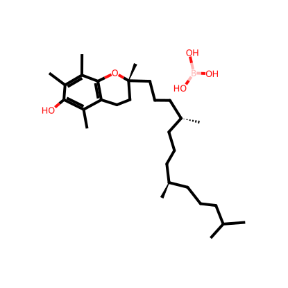 Cc1c(C)c2c(c(C)c1O)CC[C@@](C)(CCC[C@H](C)CCC[C@H](C)CCCC(C)C)O2.OB(O)O